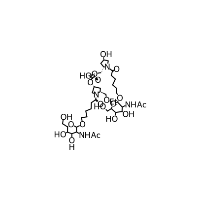 CCOC[C@@H]1C[C@@H](OP(=O)(O)OC[C@@H]2C[C@@H](O)CN2C(=O)CCCCCOC2OC(CO)C(O)C(O)C2NC(C)=O)CN1C(=O)CCCCCOC1OC(CO)C(O)C(O)C1NC(C)=O